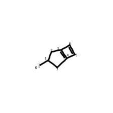 IC1CC2=C(C=C2)C1